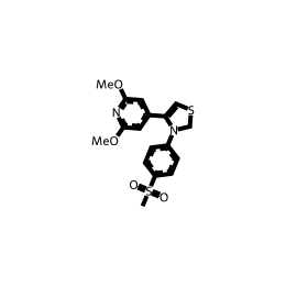 COc1cc(C2=CSCN2c2ccc(S(C)(=O)=O)cc2)cc(OC)n1